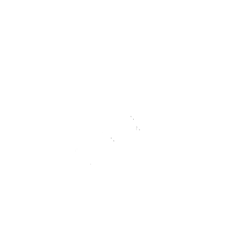 c1ccc(Cn2cc(N3CCC(C4OCCO4)CC3)cn2)cc1